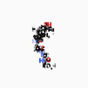 CC1(C)C(O)CCC2(C)C1CCC1(C)C3CCC4(C(=O)NCCc5cccc(C(=O)NCC6=NCC(C(=O)NCCC(=O)O)C=C6)c5)CCCC4C3CCC12